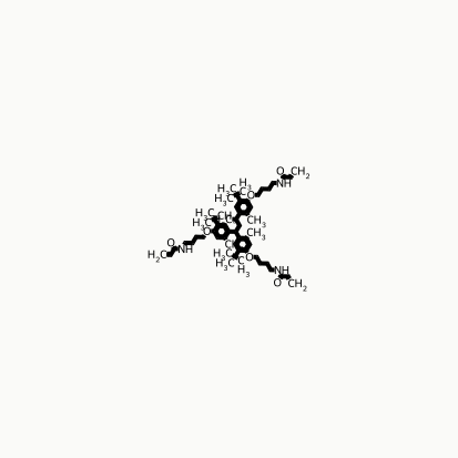 C=CC(=O)NCCCCOc1cc(C)c(C(C)CC(c2cc(C(C)(C)C)c(OCCCCNC(=O)C=C)cc2C)c2cc(C(C)(C)C)c(OCCCCNC(=O)C=C)cc2C)cc1C(C)(C)C